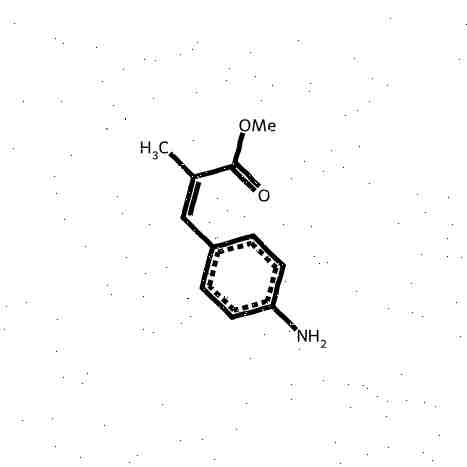 COC(=O)C(C)=Cc1ccc(N)cc1